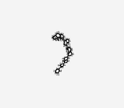 c1ccc(-c2ccc(-c3ccc4cc(-c5ccc6ccc(-c7ccc(-c8ccc9ccc%10cccnc%10c9n8)c8ccccc78)nc6c5)ccc4n3)cc2)cc1